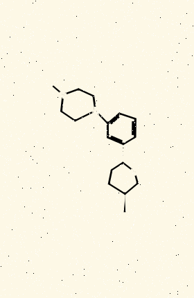 C[C@H]1CC[C@H](c2cccc(N3CCN(C)CC3)c2)NC1